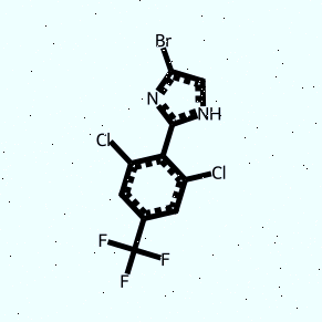 FC(F)(F)c1cc(Cl)c(-c2nc(Br)c[nH]2)c(Cl)c1